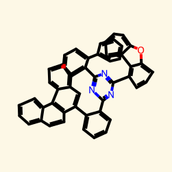 c1ccc(-c2ccccc2-c2nc(-c3ccccc3-c3cc4ccccc4c4c3ccc3ccccc34)nc(-c3cccc4oc5ccccc5c34)n2)cc1